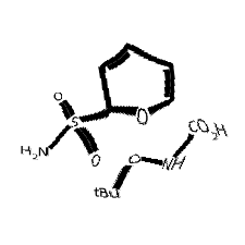 CC(C)(C)ONC(=O)O.NS(=O)(=O)C1C=CC=CO1